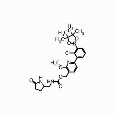 COc1nc(-c2cccc(B3OC(C)(C)C(C)(C)O3)c2Cl)ccc1COC(=O)NCC1CCC(=O)N1